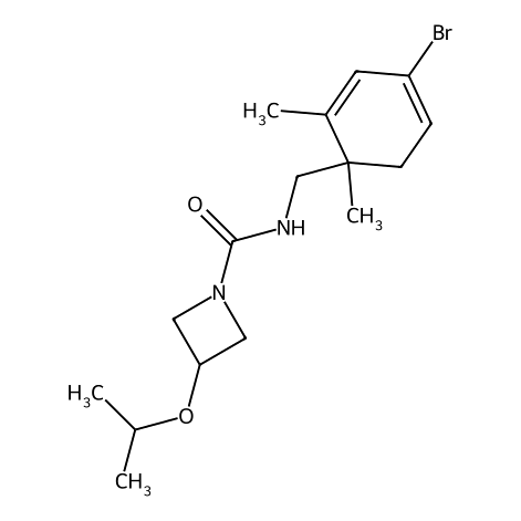 CC1=CC(Br)=CCC1(C)CNC(=O)N1CC(OC(C)C)C1